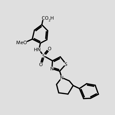 COc1cc(C(=O)O)ccc1NS(=O)(=O)c1csc(N2CCCC(c3ccccc3)C2)n1